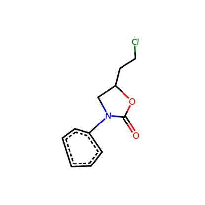 O=C1OC(CCCl)CN1c1ccccc1